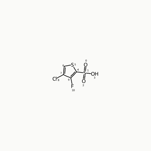 O=S(=O)(O)c1scc(Cl)c1F